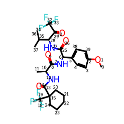 COc1ccc([C@H](NC(=O)[C@H](C)NC(=O)C2(C(F)(F)F)CCCCC2)C(=O)N[C@H](C(=O)C(F)(F)F)C(C)C)cc1